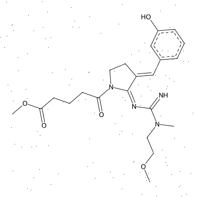 COCCN(C)C(=N)/N=C1\C(=C\c2cccc(O)c2)CCN1C(=O)CCCC(=O)OC